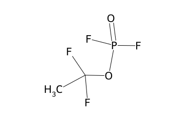 CC(F)(F)OP(=O)(F)F